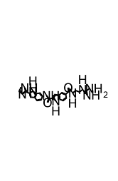 N=C(N)NCCNC(=O)c1ccc2[nH]c(C(=O)Nc3ccc4cc(C5=NCCN5)[nH]c4c3)cc2c1